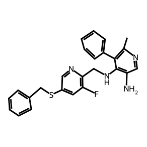 Cc1ncc(N)c(NCc2ncc(SCc3ccccc3)cc2F)c1-c1ccccc1